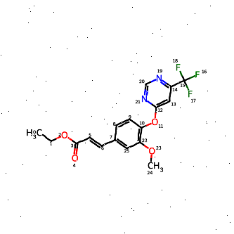 CCOC(=O)C=Cc1ccc(Oc2cc(C(F)(F)F)ncn2)c(OC)c1